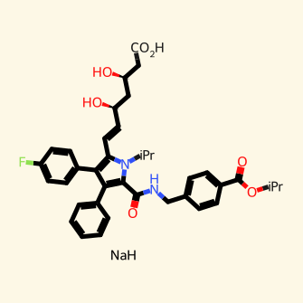 CC(C)OC(=O)c1ccc(CNC(=O)c2c(-c3ccccc3)c(-c3ccc(F)cc3)c(/C=C/[C@@H](O)C[C@@H](O)CC(=O)O)n2C(C)C)cc1.[NaH]